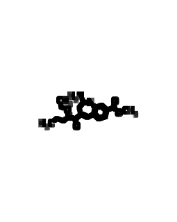 CCCN(OCC)C(=O)C1=Cc2ccc(C(=O)OC)cc2N=C(N)C1